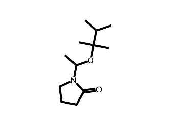 CC(OC(C)(C)C(C)C)N1CCCC1=O